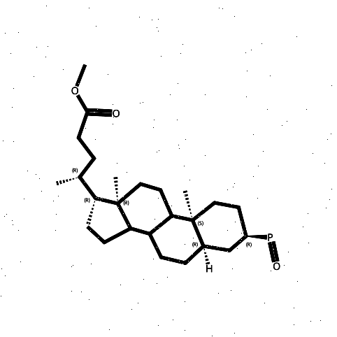 COC(=O)CC[C@@H](C)[C@H]1CCC2C3CC[C@@H]4C[C@H](P=O)CC[C@]4(C)C3CC[C@@]21C